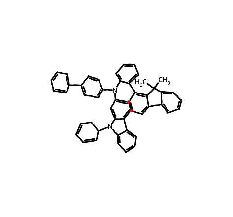 CC1(C)c2ccccc2-c2cccc(-c3ccccc3N(c3ccc(-c4ccccc4)cc3)c3ccc4c5ccccc5n(C5C=CC=CC5)c4c3)c21